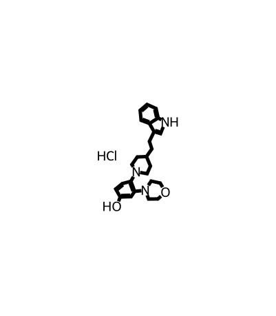 Cl.Oc1ccc(N2CCC(CCc3c[nH]c4ccccc34)CC2)c(N2CCOCC2)c1